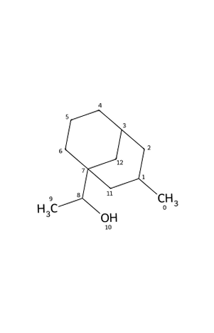 CC1CC2CCCC(C(C)O)(C1)C2